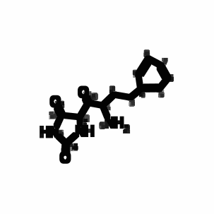 NC(CCc1ccccc1)C(=O)C1NC(=O)NC1=O